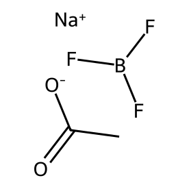 CC(=O)[O-].FB(F)F.[Na+]